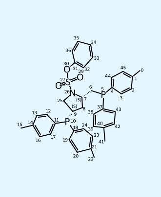 Cc1ccc(P(C[C@@H]2C[C@H](P(c3ccc(C)cc3)c3ccc(C)cc3)CN2S(=O)(=O)Oc2ccccc2)c2ccc(C)cc2)cc1